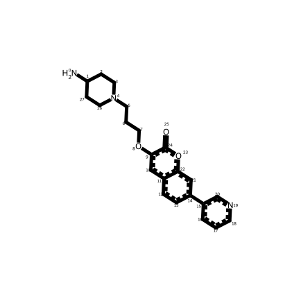 NC1CCN(CCCOc2cc3ccc(-c4cccnc4)cc3oc2=O)CC1